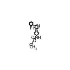 COCCOC(=O)NC1CCN(c2cncc(-c3ccccc3F)n2)CC1